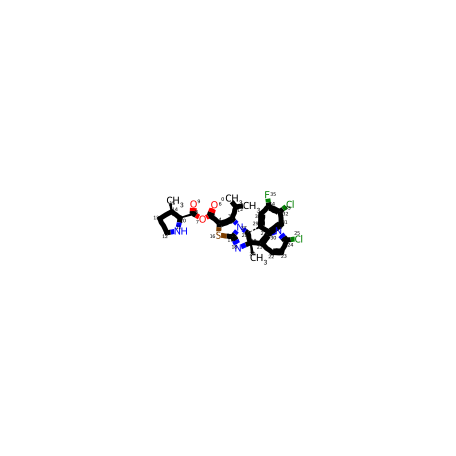 CC(C)C1=C(C(=O)OC(=O)[C@H]2NCC[C@H]2C)SC2=N[C@@](C)(c3ccc(Cl)nc3)[C@@H](c3ccc(Cl)c(F)c3)N21